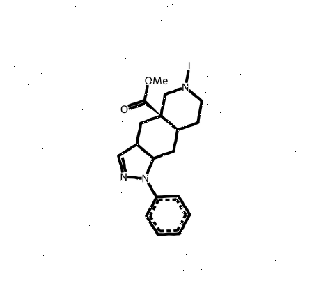 COC(=O)[C@]12CC3C=NN(c4ccccc4)C3CC1CCN(I)C2